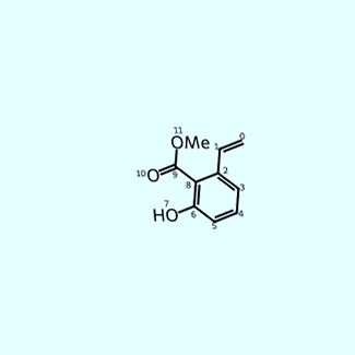 C=Cc1cccc(O)c1C(=O)OC